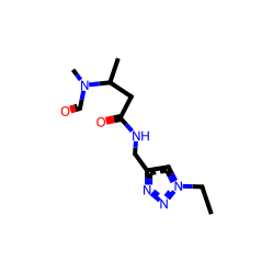 CCn1cc(CNC(=O)CC(C)N(C)C=O)nn1